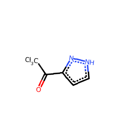 O=C(c1cc[nH]n1)C(Cl)(Cl)Cl